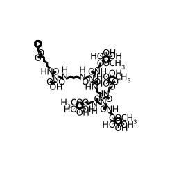 C[C@@H]1O[C@@H](OCCNC(=O)CN(CC(=O)NCCO[C@@H]2O[C@@H](C)[C@@H](O)[C@@H](O)[C@@H]2O)[C@@H](CCCCNC(=O)CN(CC(=O)NCCCCCNC(=O)CN(CC(=O)O)CC(=O)NCCCCCC(=O)OCc2ccccc2)CC(=O)NCCO[C@H]2O[C@H](C)[C@H](O)[C@H](O)[C@H]2O)C(=O)NCCO[C@@H]2O[C@@H](C)[C@@H](O)[C@@H](O)[C@@H]2O)[C@@H](O)[C@H](O)[C@@H]1O